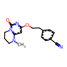 CN1CCCn2c1cc(OCCc1ccc(C#N)cc1)nc2=O